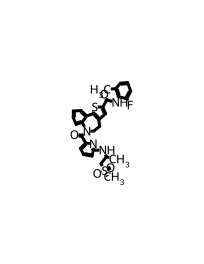 Cc1cccc(F)c1NC(=O)c1cc2c(s1)-c1ccccc1N(C(=O)c1cccc(NC(C)CS(C)(=O)=O)n1)CC2